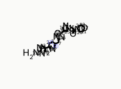 C=C(/C=C\C(=C/N)Cc1noc(-c2cnn(CC(=O)N3CCOCC3)c2)n1)c1cnc(N)nc1